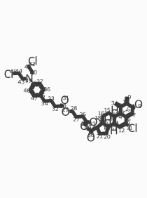 C=C1C(=C)[C@@]2(C)C(=CC1=O)C(Cl)=C[C@@H]1[C@@H]2CC[C@@]2(C)[C@H]1CC[C@]2(OC(=O)CCCOC(=O)CCCc1ccc(N(CCCl)CCCl)cc1)C(C)=O